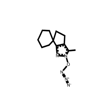 Cc1c2c(nn1ON=[N+]=[N-])C1(CCCCC1)CC2